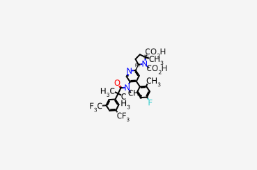 Cc1cc(F)ccc1-c1cc([C@H]2CC[C@@](C)(C(=O)O)N2C(=O)O)ncc1N(C)C(=O)C(C)(C)c1cc(C(F)(F)F)cc(C(F)(F)F)c1